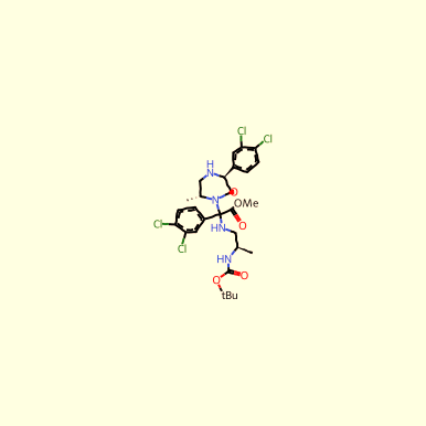 COC(=O)C(NC[C@@H](C)NC(=O)OC(C)(C)C)(c1ccc(Cl)c(Cl)c1)N1C(=O)[C@H](c2ccc(Cl)c(Cl)c2)NC[C@H]1C